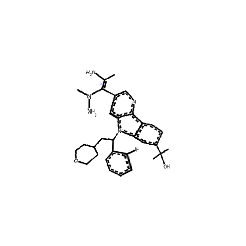 C/C(N)=C(\c1cnc2c3ccc(C(C)(C)O)cc3n(C(CC3CCOCC3)c3ccccc3F)c2c1)N(C)N